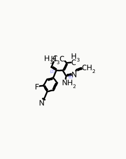 C=C/N=C(/N)C(=C(C)C)/C(=C\C)c1ccc(C#N)c(F)c1